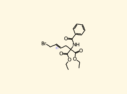 CCOC(=O)C(C/C=C/CBr)(NC(=O)c1ccccc1)C(=O)OCC